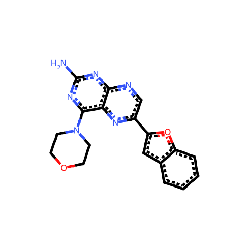 Nc1nc(N2CCOCC2)c2nc(-c3cc4ccccc4o3)cnc2n1